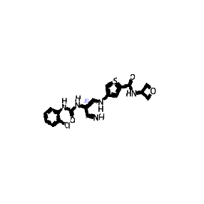 N=C/C(=C\Nc1csc(C(=O)NC2COC2)c1)NC(=O)Nc1ccccc1Cl